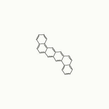 c1ccc2c(c1)ccc1cc3cc4c(ccc5ccccc54)cc3cc12